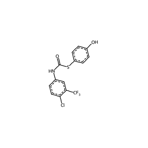 O=C(Nc1ccc(Cl)c(C(F)(F)F)c1)Sc1ccc(O)cc1